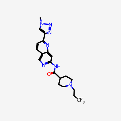 Cn1cc(-c2ccc3cnc(NC(=O)C4CCN(CCC(F)(F)F)CC4)cc3n2)nn1